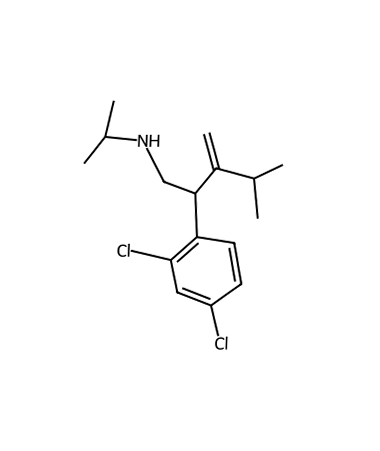 C=C(C(C)C)C(CNC(C)C)c1ccc(Cl)cc1Cl